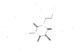 C=C1C(=O)N(CCCC)C(=S)N(CCOC)C1=O